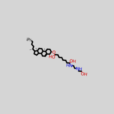 CC(C)CCC[C@@H](C)C1CCC2C3CC=C4C[C@@H](OC(O)CCCCCCC(O)NCCNCCO)CC[C@]4(C)C3CC[C@@]21C